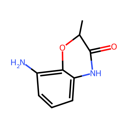 CC1Oc2c(N)cccc2NC1=O